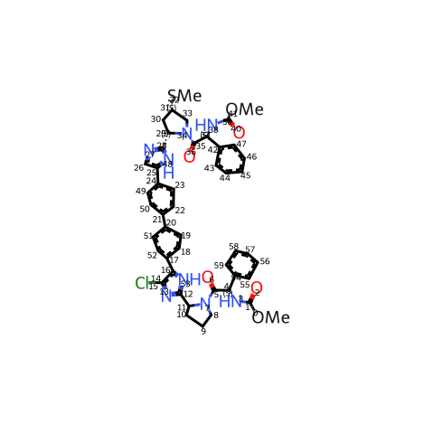 COC(=O)N[C@H](C(=O)N1CCCC1c1nc(Cl)c(-c2ccc(-c3ccc(-c4cnc([C@@H]5C[C@H](SC)CN5C(=O)[C@@H](NC(=O)OC)c5ccccc5)[nH]4)cc3)cc2)[nH]1)c1ccccc1